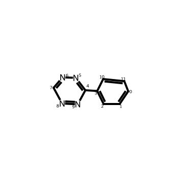 c1ccc(-c2nncnn2)cc1